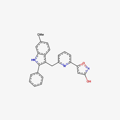 COc1ccc2c(Cc3cccc(-c4cc(O)no4)n3)c(-c3ccccc3)[nH]c2c1